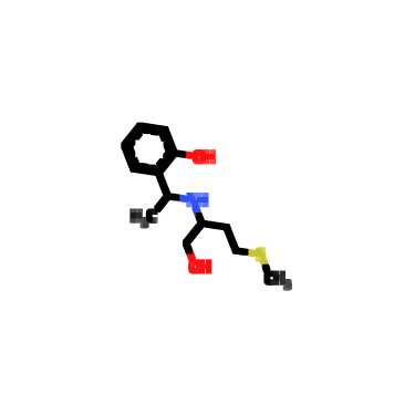 CSCCC(CO)NC(C)c1ccccc1O